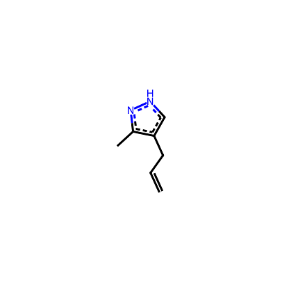 C=CCc1c[nH]nc1C